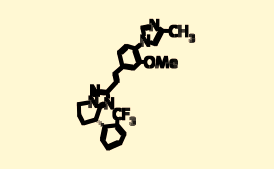 COc1cc(/C=C/c2nc3n(n2)CCC[C@H]3c2ccccc2C(F)(F)F)ccc1-n1cnc(C)c1